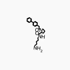 NCCCCCNC(=O)C1CCCN1C(=O)Cc1ccc(-c2ccccc2)cc1